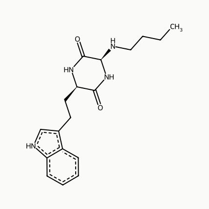 CCCCN[C@H]1NC(=O)[C@@H](CCc2c[nH]c3ccccc23)NC1=O